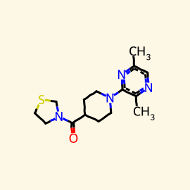 Cc1cnc(C)c(N2CCC(C(=O)N3CCSC3)CC2)n1